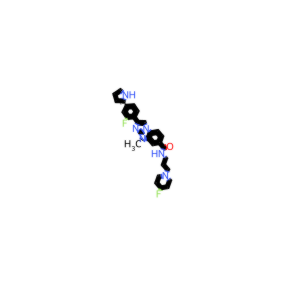 Cn1c2cc(C(=O)NCCCN3CCC(F)CC3)ccc2n2cc(-c3ccc([C@@H]4CCCN4)cc3F)nc12